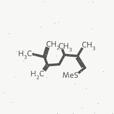 C=C(C)C(=C)CC(C)/C(C)=C\SC